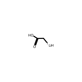 O=C(O)CI.[LiH]